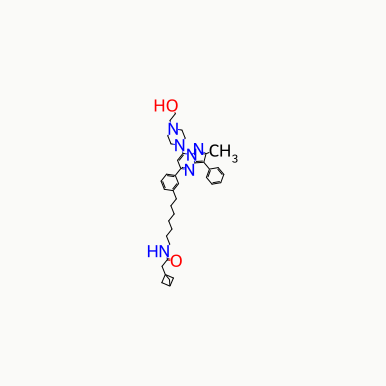 Cc1nn2c(N3CCN(CCO)CC3)cc(-c3cccc(CCCCCCCNC(=O)CC45CC(C4)C5)c3)nc2c1-c1ccccc1